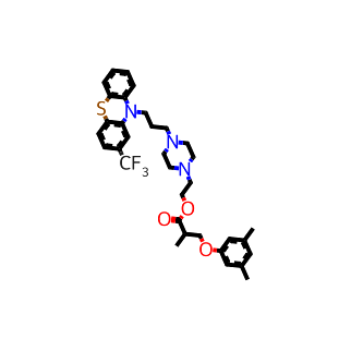 Cc1cc(C)cc(OCC(C)C(=O)OCCN2CCN(CCCN3c4ccccc4Sc4ccc(C(F)(F)F)cc43)CC2)c1